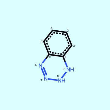 [c]1cccc2c1N=NNN2